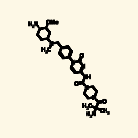 CO[C@H]1CC(N(C)Cc2ccc(-n3ccc(NC(=O)N4CCN(C(=O)C(C)(C)N)CC4)nc3=O)cc2)CC[C@@H]1N